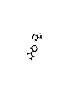 Cc1cc(Oc2nccc3[nH]ncc23)ccc1-c1c(C)n[nH]c(=O)c1C